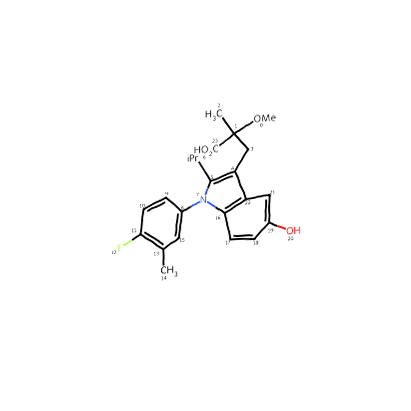 COC(C)(Cc1c(C(C)C)n(-c2ccc(F)c(C)c2)c2ccc(O)cc12)C(=O)O